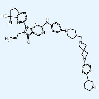 C=CCn1c(=O)c2cnc(Nc3ccc(N4CCC(CN5CC6(C5)CN(c5ccc(C7CCCNC7)cc5)C6)CC4)cc3)nc2n1-c1ccc2c(n1)[C@@](O)(CC)CC2